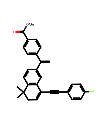 C=C(c1ccc(C(=O)OC)cc1)c1ccc2c(c1)C(C#Cc1ccc(F)cc1)=CCC2(C)C